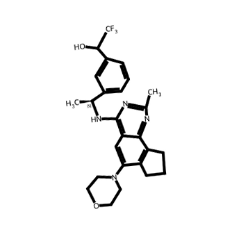 Cc1nc(N[C@@H](C)c2cccc(C(O)C(F)(F)F)c2)c2cc(N3CCOCC3)c3c(c2n1)CCC3